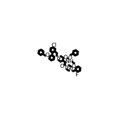 CCOc1cccc(F)c1CN1CCN(C(=O)[C@H](NC(=O)OCc2ccccc2)C2CCN(CCc3cc(Cl)ccc3-c3ccccc3OCc3ccccc3)CC2)CC1